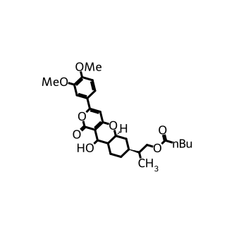 CCCCC(=O)OCC(C)[C@H]1CCC2C(O)c3c(cc(-c4ccc(OC)c(OC)c4)oc3=O)O[C@H]2C1